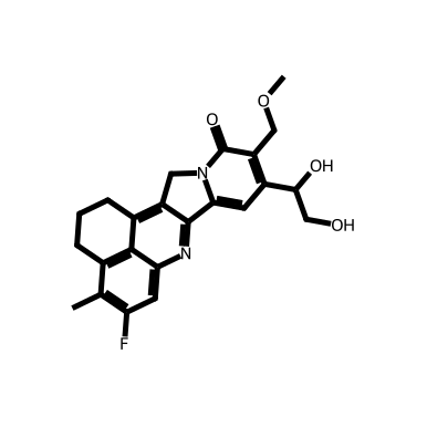 COCc1c(C(O)CO)cc2n(c1=O)Cc1c-2nc2cc(F)c(C)c3c2c1CCC3